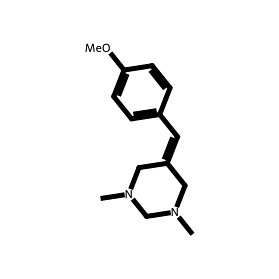 COc1ccc(C=C2CN(C)CN(C)C2)cc1